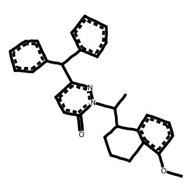 COc1cccc2c1CCCC2C(C)n1nc(C(c2ccccc2)c2ccccc2)ccc1=O